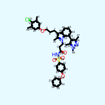 Cc1cc(OCCCc2c(C)n(CCC(=O)NS(=O)(=O)c3ccc(Oc4ccccc4)cc3)c3c(-c4c(C)nn(C)c4C)cccc23)cc(C)c1Cl